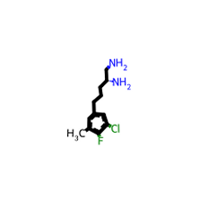 Cc1cc(CCC[C@@H](N)CN)cc(Cl)c1F